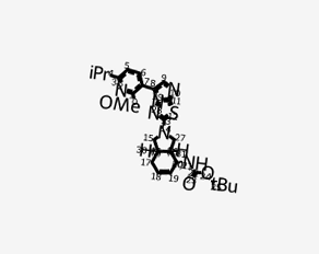 COc1nc(C(C)C)ccc1-c1cnc2sc(N3C[C@H]4CC=C[C@@H](NC(=O)OC(C)(C)C)[C@H]4C3)nn12